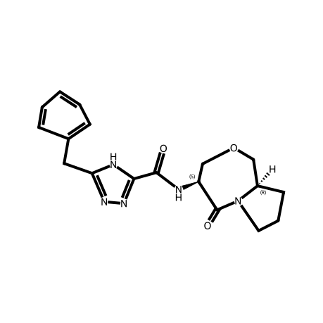 O=C(N[C@H]1COC[C@H]2CCCN2C1=O)c1nnc(Cc2ccccc2)[nH]1